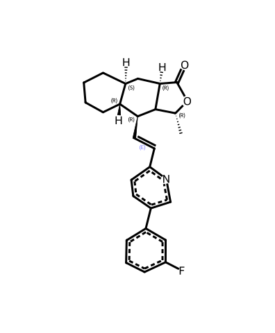 C[C@H]1OC(=O)[C@@H]2C[C@@H]3CCCC[C@H]3[C@H](/C=C/c3ccc(-c4cccc(F)c4)cn3)C12